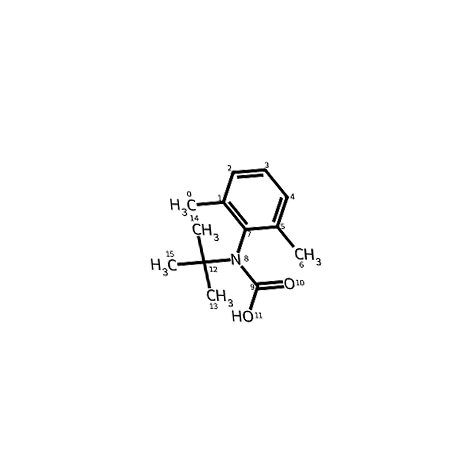 Cc1cccc(C)c1N(C(=O)O)C(C)(C)C